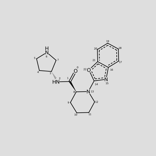 O=C(N[C@@H]1CCNC1)[C@@H]1CCCCN1c1nc2ccccc2o1